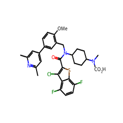 COc1ccc(-c2cc(C)nc(C)c2)cc1CN(C(=O)c1sc2c(F)ccc(F)c2c1Cl)C1CCC(N(C)C(=O)O)CC1